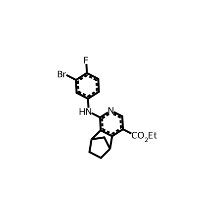 CCOC(=O)c1cnc(Nc2ccc(F)c(Br)c2)c2c1C1CCC2C1